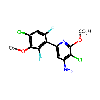 CCOc1c(Cl)cc(F)c(-c2cc(N)c(Cl)c(OC(=O)O)n2)c1F